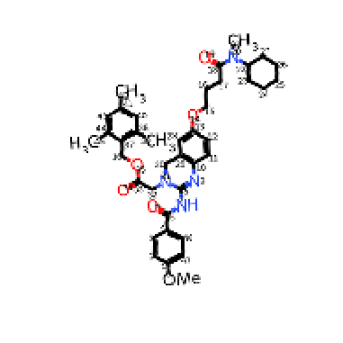 COc1ccc(C(=O)NC2=Nc3ccc(OCCCC(=O)N(C)C4CCCCC4)cc3CN2CC(=O)OCc2c(C)cc(C)cc2C)cc1